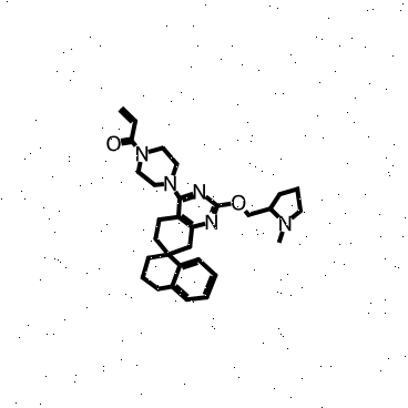 C=CC(=O)N1CCN(c2nc(OCC3CCCN3C)nc3c2CCC2(CCCc4ccccc42)C3)CC1